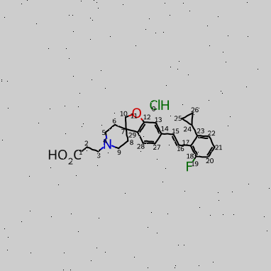 Cl.O=C(O)CCN1CCC2(CC1)COc1cc(C=Cc3c(F)cccc3C3CC3)ccc12